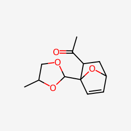 CC(=O)C1CC2C=CC1(C1OCC(C)O1)O2